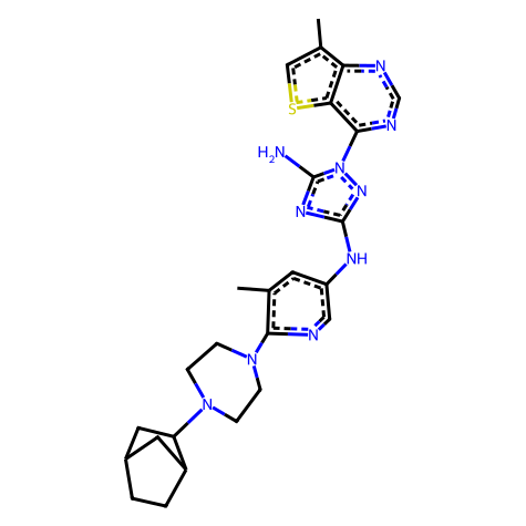 Cc1cc(Nc2nc(N)n(-c3ncnc4c(C)csc34)n2)cnc1N1CCN(C2CC3CCC2C3)CC1